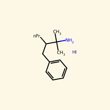 CCCC(Cc1ccccc1)C(C)(C)N.I